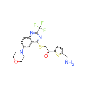 NCc1ccc(C(=O)CSc2nc(C(F)(F)F)nc3ccc(N4CCOCC4)cc23)s1